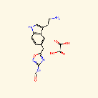 NCCc1c[nH]c2ccc(Cc3nc(NC=O)no3)cc12.O=C(O)C(=O)O